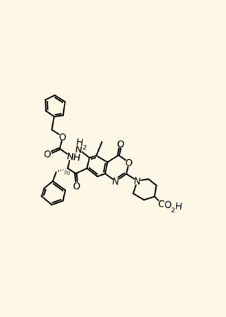 Cc1c(N)c(C(=O)[C@H](Cc2ccccc2)NC(=O)OCc2ccccc2)cc2nc(N3CCC(C(=O)O)CC3)oc(=O)c12